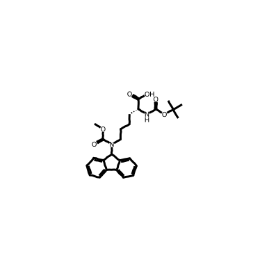 COC(=O)N(CCCC[C@@H](NC(=O)OC(C)(C)C)C(=O)O)C1c2ccccc2-c2ccccc21